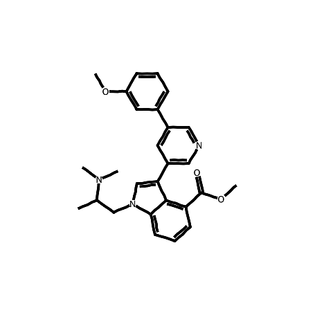 COC(=O)c1cccc2c1c(-c1cncc(-c3cccc(OC)c3)c1)cn2CC(C)N(C)C